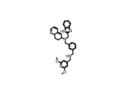 COc1cc(CNCc2cccc(CN(Cc3nc4ccccc4[nH]3)C3C=C4C=CC=NC4CC3)c2)cc(OC)n1